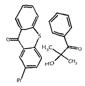 CC(C)(O)C(=O)c1ccccc1.CC(C)c1ccc2sc3ccccc3c(=O)c2c1